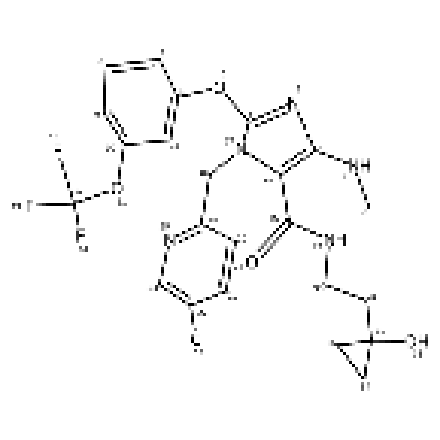 CNc1nc(Oc2cccc(OC(F)(F)F)c2)n(Cc2ccc(Cl)cn2)c1C(=O)NCCC1(O)CC1